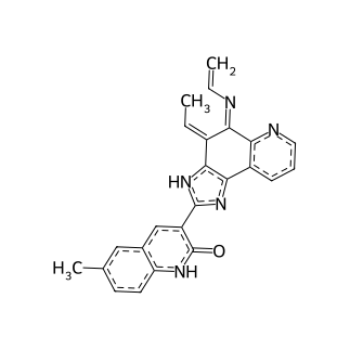 C=C/N=C1\C(=C/C)c2[nH]c(-c3cc4cc(C)ccc4[nH]c3=O)nc2-c2cccnc21